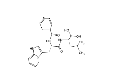 CC(C)C[C@H](NC(=O)[C@H](Cc1c[nH]c2ccccc12)NC(=O)c1ccncc1)B(O)O